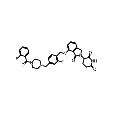 O=C1CCC(N2Cc3cccc(NCc4ccc(CN5CCN(C(=O)c6ccccc6F)CC5)cc4F)c3C2=O)C(=O)N1